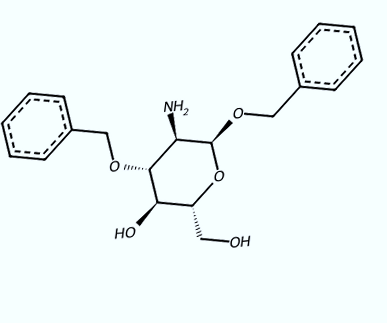 N[C@H]1[C@@H](OCc2ccccc2)O[C@H](CO)[C@@H](O)[C@@H]1OCc1ccccc1